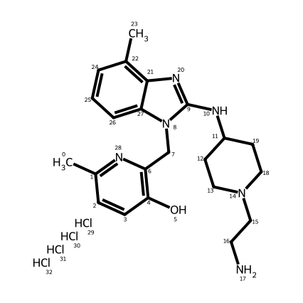 Cc1ccc(O)c(Cn2c(NC3CCN(CCN)CC3)nc3c(C)cccc32)n1.Cl.Cl.Cl.Cl